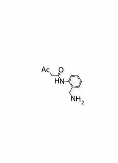 CC(=O)CC(=O)Nc1ccccc1CN